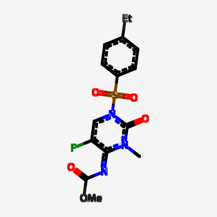 CCc1ccc(S(=O)(=O)n2cc(F)/c(=N\C(=O)OC)n(C)c2=O)cc1